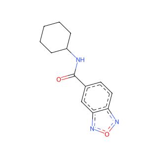 O=C(NC1CCCCC1)c1ccc2nonc2c1